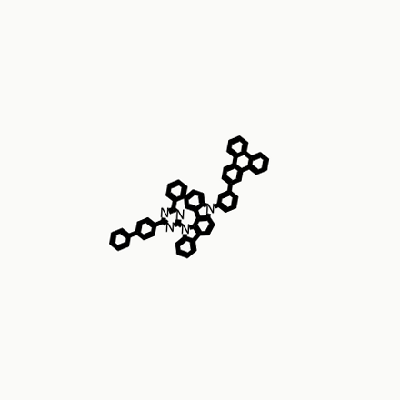 c1ccc(-c2ccc(-c3nc(-c4ccccc4)nc(-n4c5ccccc5c5ccc6c(c7ccccc7n6-c6cccc(-c7ccc8c9ccccc9c9ccccc9c8c7)c6)c54)n3)cc2)cc1